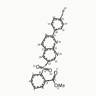 COC(=O)c1ccccc1S(=O)(=O)c1cnc2nc(-c3ccc(F)cc3)ccc2c1